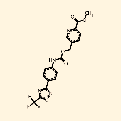 COC(=O)c1ccc(COC(=O)Nc2ccc(-c3noc(C(F)(F)F)n3)cc2)cn1